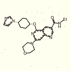 CCNC(=O)c1cnc2cc(N3CCOCC3)nc(O[C@H]3CC[C@@H](n4ccnc4)CC3)c2c1